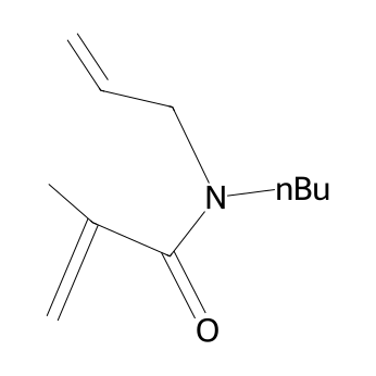 C=CCN(CCCC)C(=O)C(=C)C